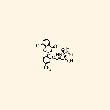 CCNS(=O)(=O)N[C@H](COc1cc(C(F)(F)F)ccc1[C@@H]1CC(=O)c2cccc(Cl)c2O1)C(=O)O